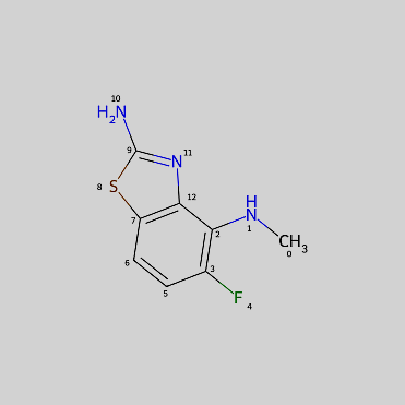 CNc1c(F)ccc2sc(N)nc12